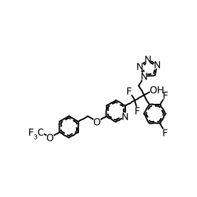 OC(Cn1cnnn1)(c1ccc(F)cc1F)C(F)(F)c1ccc(OCc2ccc(OC(F)(F)F)cc2)cn1